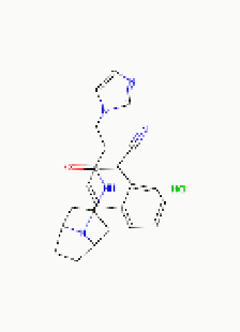 Cl.N#Cc1ccc(N2C3CCC2CC(NC(=O)CCn2ccnc2)C3)c2ccccc12